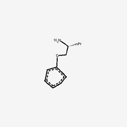 CCC[C@@H](N)COc1ccccc1